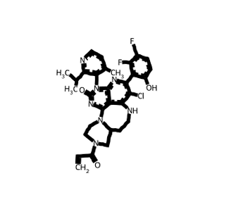 C=CC(=O)N1CCN2c3nc(=O)n(-c4c(C)ccnc4C(C)C)c4nc(-c5c(O)ccc(F)c5F)c(Cl)c(c34)NCCC2C1